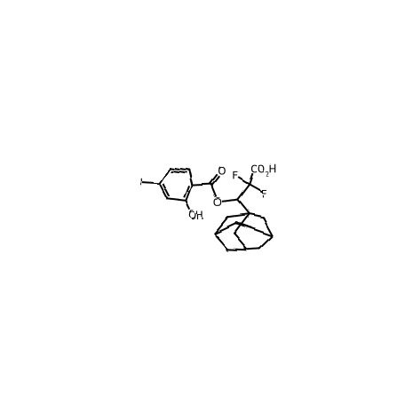 O=C(OC(C12CC3CC(CC(C3)C1)C2)C(F)(F)C(=O)O)c1ccc(I)cc1O